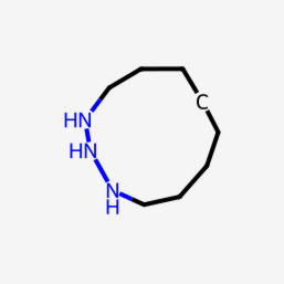 C1CCCCNNNCCC1